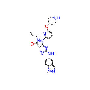 C=CCn1c(=O)c2cnc(Nc3ccc4c(cnn4C)c3)nc2n1-c1cccc(OC2CCNCC2)n1